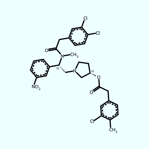 Cc1ccc(CC(=O)O[C@H]2CCN(C[C@H](c3cccc([N+](=O)[O-])c3)N(C)C(=O)Cc3ccc(Cl)c(Cl)c3)C2)cc1Cl